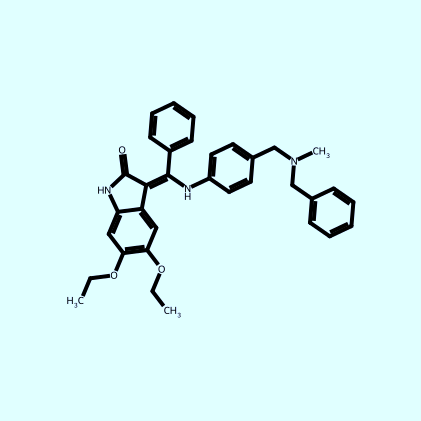 CCOc1cc2c(cc1OCC)C(=C(Nc1ccc(CN(C)Cc3ccccc3)cc1)c1ccccc1)C(=O)N2